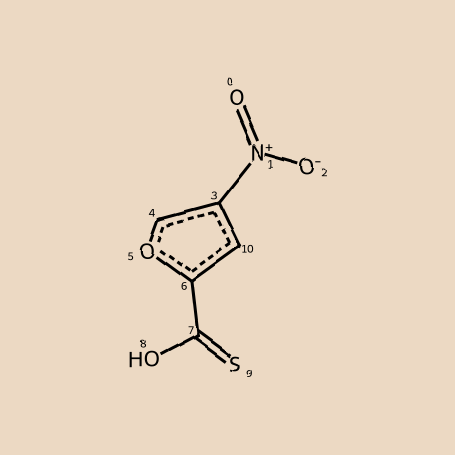 O=[N+]([O-])c1coc(C(O)=S)c1